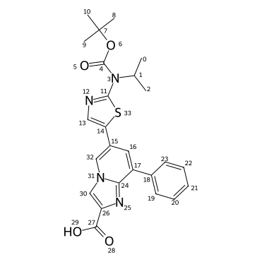 CC(C)N(C(=O)OC(C)(C)C)c1ncc(-c2cc(-c3ccccc3)c3nc(C(=O)O)cn3c2)s1